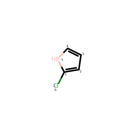 ClC1=CC=CB1